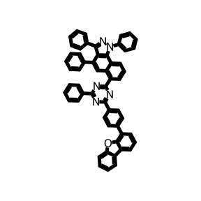 c1ccc(-c2nc(-c3ccc(-c4cccc5c4oc4ccccc45)cc3)nc(-c3cccc4c3cc(-c3ccccc3)c3c(-c5ccccc5)nn(-c5ccccc5)c34)n2)cc1